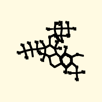 [2H]c1c2c(c([2H])c(OC)c1OC([2H])([2H])[2H])C1N(CC2)C([2H])([2H])C([2H])(C([2H])([2H])C([2H])(C)C([2H])([2H])[2H])C(OC(=O)[C@@]([2H])(N)C([2H])(C([2H])([2H])[2H])C([2H])([2H])[2H])C1([2H])[2H]